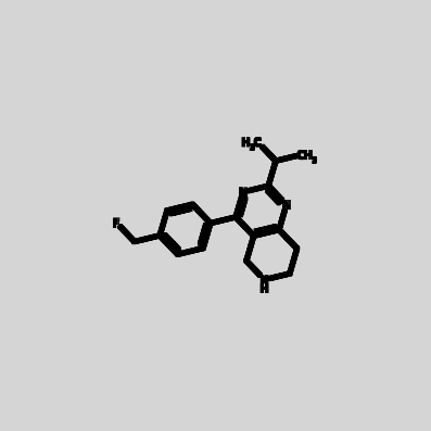 CC(C)c1nc2c(c(-c3ccc(CF)cc3)n1)CNCC2